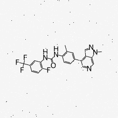 Cc1cc(-c2cncc3c2cnn3C)ccc1NC(=O)Nc1cc(C(F)(F)F)ccc1F